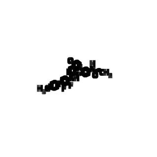 C=CC(=O)Nc1ccc(F)c(-n2ccc(=O)c3cnc(Nc4ccc(N5CCN(C)CC5)c(F)c4F)nc32)c1